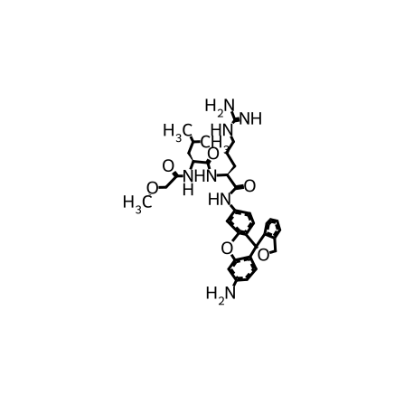 COCC(=O)N[C@@H](CC(C)C)C(=O)N[C@@H](CCCNC(=N)N)C(=O)Nc1ccc2c(c1)Oc1cc(N)ccc1C21OCc2ccccc21